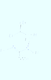 C/N=C(\NC)N(C)C.CCCCC(CC)C(=O)O